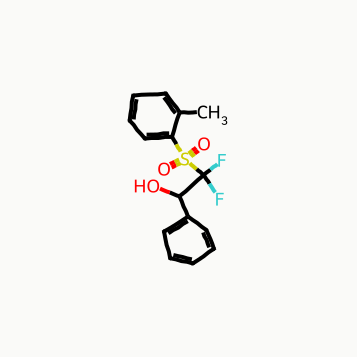 Cc1ccccc1S(=O)(=O)C(F)(F)C(O)c1ccccc1